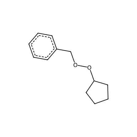 c1ccc(COOC2CCCC2)cc1